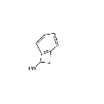 OC1Cc2[c]cccc21